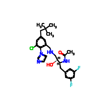 CC(=O)N[C@@H](Cc1cc(F)cc(F)c1)[C@H](O)CNCc1cc(CC(C)(C)C)cc(Cl)c1-n1ccnc1